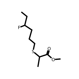 CCC(F)CCCSC(C)C(=O)OC